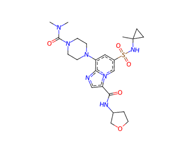 CN(C)C(=O)N1CCN(c2cc(S(=O)(=O)NC3(C)CC3)cn3c(C(=O)NC4CCOC4)cnc23)CC1